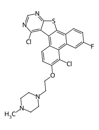 CN1CCN(CCOc2ccc3c(c2Cl)c2cc(F)ccc2c2sc4ncnc(Cl)c4c32)CC1